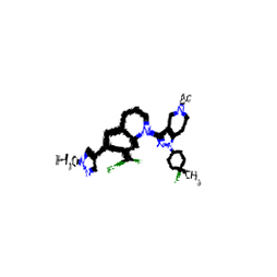 CC(=O)N1CCc2c(c(N3CCCc4cc(-c5cnn(C)c5)c(C(F)F)cc43)nn2C2CCC(C)(F)CC2)C1